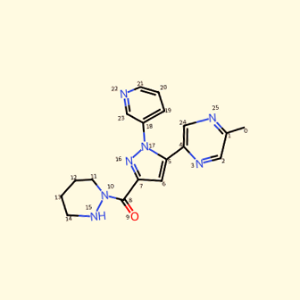 Cc1cnc(-c2cc(C(=O)N3CCCCN3)nn2-c2cccnc2)cn1